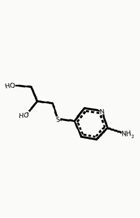 Nc1ccc(SCC(O)CO)cn1